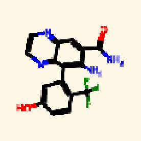 NC(=O)c1cc2nccnc2c(-c2cc(O)ccc2C(F)(F)F)c1N